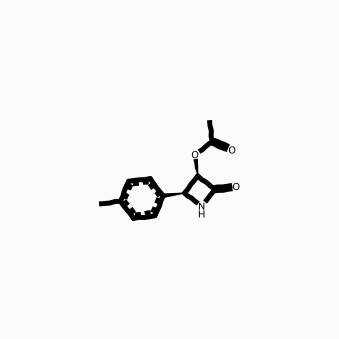 CC(=O)O[C@H]1C(=O)N[C@H]1c1ccc(C)cc1